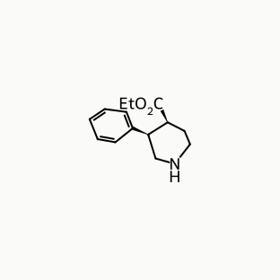 CCOC(=O)[C@H]1CCNC[C@H]1c1ccccc1